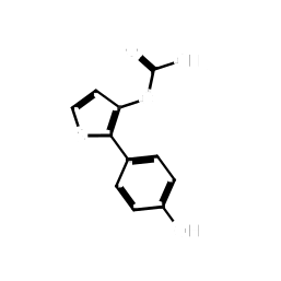 CC(=O)Oc1ccsc1-c1ccc(O)cc1